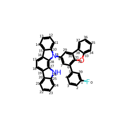 Fc1cccc(-c2cc(-n3c4ccccc4c4ccc5c6ccccc6[nH]c5c43)cc3c2oc2ccccc23)c1